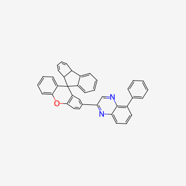 C1=CC2c3ccccc3C3(c4ccccc4Oc4ccc(-c5cnc6c(-c7ccccc7)cccc6n5)cc43)C2C=C1